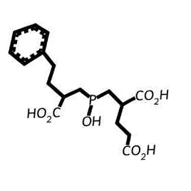 O=C(O)CCC(CP(O)CC(CCc1ccccc1)C(=O)O)C(=O)O